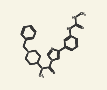 CNC(=O)Nc1cccc(-c2cn(C(=O)N(C)C3CCN(Cc4ccccc4)CC3)cn2)c1